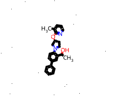 Cc1cccnc1O[C@H]1CCN(c2ccc(-c3ccccc3)cc2C(C)O)C1